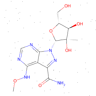 CONc1ncnc2c1c(C(N)=O)nn2[C@@H]1O[C@H](CO)[C@@H](O)[C@@]1(C)O